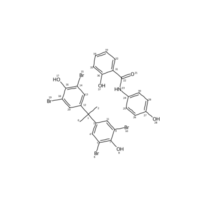 CC(C)(c1cc(Br)c(O)c(Br)c1)c1cc(Br)c(O)c(Br)c1.O=C(Nc1ccc(O)cc1)c1ccccc1O